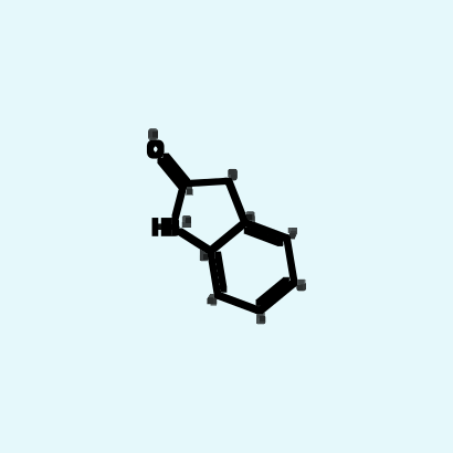 O=C1Bc2ccccc2C1